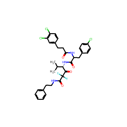 CC(C)[C@H](NC(=O)C(Cc1ccc(Cl)cc1)NC(=O)CCc1ccc(Cl)c(Cl)c1)C(=O)C(F)(F)C(=O)NCCc1ccccc1